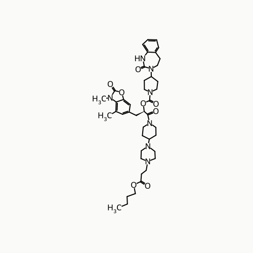 CCCCOC(=O)CCN1CCN(C2CCN(C(=O)[C@@H](Cc3cc(C)c4c(c3)oc(=O)n4C)OC(=O)N3CCC(N4CCc5ccccc5NC4=O)CC3)CC2)CC1